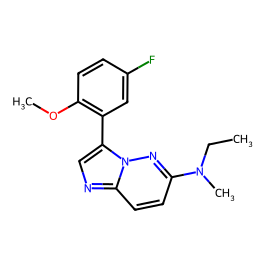 CCN(C)c1ccc2ncc(-c3cc(F)ccc3OC)n2n1